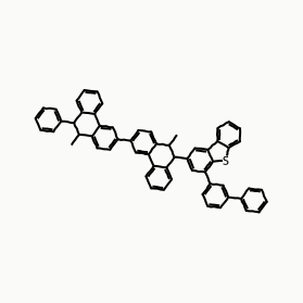 CC1c2ccc(-c3ccc4c(c3)-c3ccccc3C(c3cc(-c5cccc(-c6ccccc6)c5)c5sc6ccccc6c5c3)C4C)cc2-c2ccccc2C1c1ccccc1